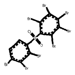 O=S(=O)(c1ccc(Br)c(Br)c1Br)c1c(Br)c(Br)c(Br)c(Br)c1Br